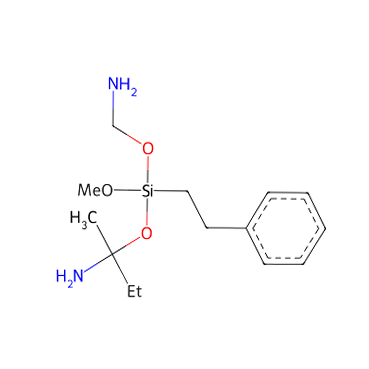 CCC(C)(N)O[Si](CCc1ccccc1)(OC)OCN